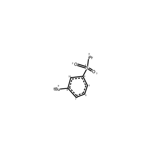 CC(C)S(=O)(=O)c1cc[c]c(C(C)(C)C)c1